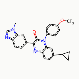 Cn1cnc2ccc(-c3nc4ccc(C5CC5)cc4n(-c4ccc(OC(F)(F)F)cc4)c3=O)cc21